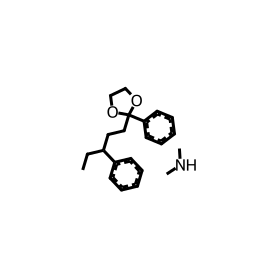 CCC(CCC1(c2ccccc2)OCCO1)c1ccccc1.CNC